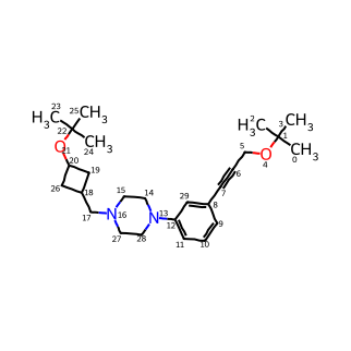 CC(C)(C)OCC#Cc1cccc(N2CCN(CC3CC(OC(C)(C)C)C3)CC2)c1